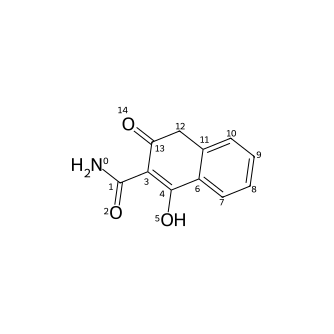 NC(=O)C1=C(O)c2ccccc2CC1=O